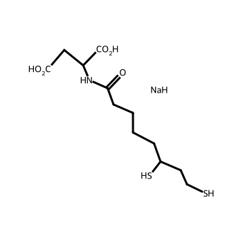 O=C(O)CC(NC(=O)CCCCC(S)CCS)C(=O)O.[NaH]